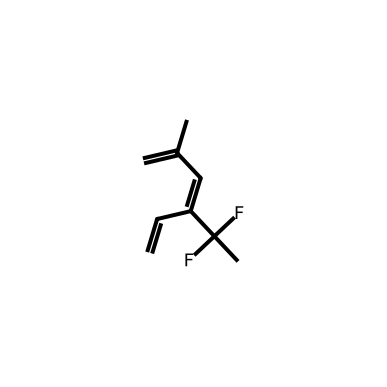 C=C/C(=C\C(=C)C)C(C)(F)F